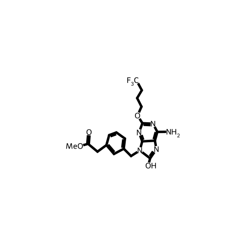 COC(=O)Cc1cccc(Cn2c(O)nc3c(N)nc(OCCCC(F)(F)F)nc32)c1